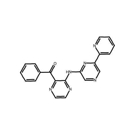 O=C(c1ccccc1)c1nccnc1Nc1cncc(-c2ccccn2)n1